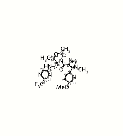 COc1ccc(-c2c(C(=O)N3C[C@@H](C)O[C@@H](C)[C@H]3CNc3cnc(C(F)(F)F)cn3)ncn2C)nc1